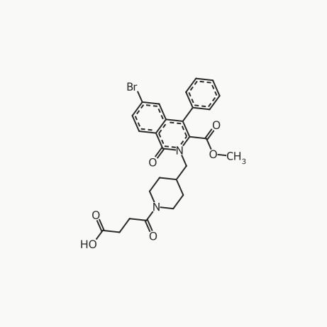 COC(=O)c1c(-c2ccccc2)c2cc(Br)ccc2c(=O)n1CC1CCN(C(=O)CCC(=O)O)CC1